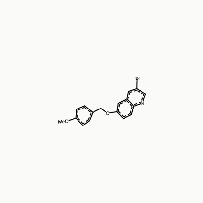 COc1ccc(COc2ccc3ncc(Br)cc3c2)cc1